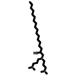 CCCCCCCCCCCCCCCCC(O)CN(CCCN(C)C)CCCN(C)C